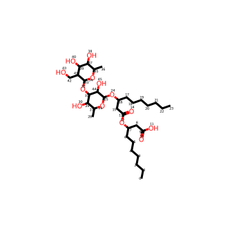 CCCCCCCC(CC(=O)O)OC(=O)CC(CCCCCCC)OC1OC(C)C(O)C(OC2OC(C)C(O)C(O)C2CO)C1O